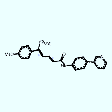 CCCCC/C(=C\C=C\C(=O)Nc1ccc(-c2cccnc2)cc1)c1ccc(OC)cc1